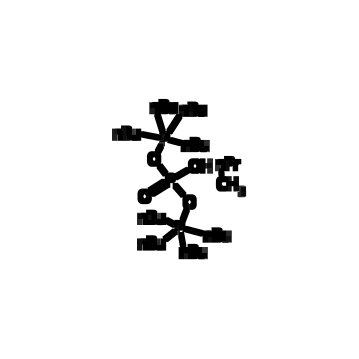 CCCC.CCCCP(CCCC)(CCCC)(CCCC)OP(=O)(O)OP(CCCC)(CCCC)(CCCC)CCCC